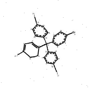 Brc1ccc(C(C2=CC=C(I)CC2)(c2ccc(I)cc2)c2ccc(I)cc2)cc1